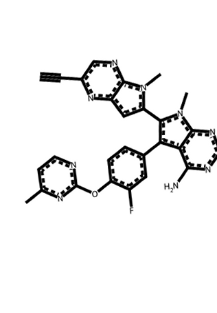 C#Cc1cnc2c(cc(-c3c(-c4ccc(Oc5nccc(C)n5)c(F)c4)c4c(N)ncnc4n3C)n2C)n1